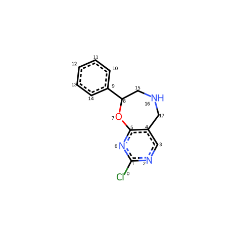 Clc1ncc2c(n1)OC(c1ccccc1)CNC2